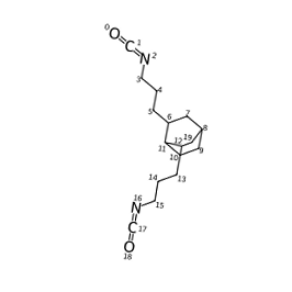 O=C=NCCCC1CC2CCC1C(CCCN=C=O)C2